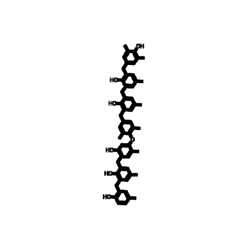 Cc1ccc(O)c(Cc2cc(C)cc(Cc3cc(C)c(Oc4c(C)cc(Cc5cc(C)cc(Cc6cc(C)cc(Cc7cc(C)c(O)c(C)c7)c6O)c5O)cc4C)cc3O)c2O)c1